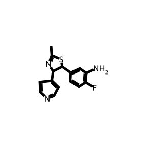 CC1=NC(c2ccncc2)C(c2ccc(F)c(N)c2)S1